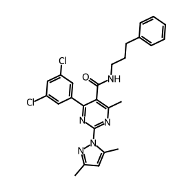 Cc1cc(C)n(-c2nc(C)c(C(=O)NCCCc3ccccc3)c(-c3cc(Cl)cc(Cl)c3)n2)n1